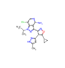 Cc1cc(-c2c(-c3nn(C(C)C)c4c(Cl)cnc(N)c34)noc2C2CC2)n[nH]1